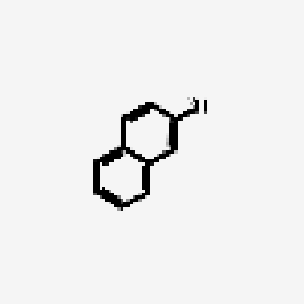 [2H]c1ccc2ccccc2c1